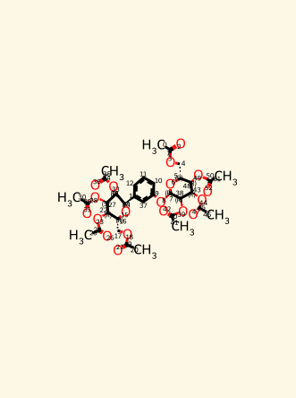 CC(=O)OC[C@H]1O[C@H](Oc2cccc([C@H]3O[C@H](COC(C)=O)[C@@H](OC(C)=O)[C@@H](OC(C)=O)[C@@H]3OC(C)=O)c2)[C@H](OC(C)=O)[C@H](OC(C)=O)[C@@H]1OC(C)=O